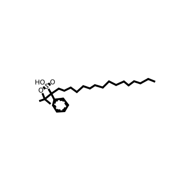 CCCCCCCCCCCCCCCCC(c1ccccc1)(C(C)(C)C)S(=O)(=O)O